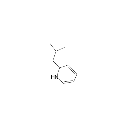 CC(C)CC1C=CC=CN1